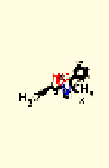 CC#CCCC(=O)N(C)[C@@H](C)[C@@H](O)c1ccccc1